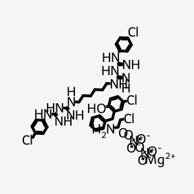 N=C(NCCCCCCNC(=N)NC(=N)Nc1ccc(Cl)cc1)NC(=N)Nc1ccc(Cl)cc1.NC(=O)CCl.O=[N+]([O-])[O-].O=[N+]([O-])[O-].Oc1ccc(Cl)cc1Cc1ccccc1.[Mg+2]